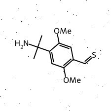 COc1cc(C(C)(C)N)c(OC)cc1C=S